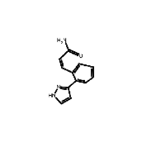 NC(=O)/C=C\c1ccccc1-c1cc[nH]n1